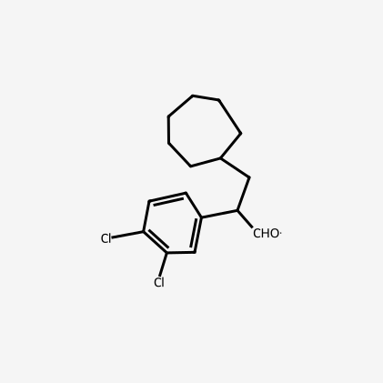 O=[C]C(CC1CCCCCC1)c1ccc(Cl)c(Cl)c1